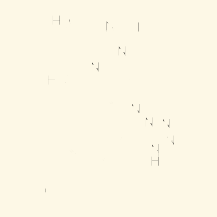 CCc1nc2c(C)cc(C)nc2n1Cc1ccc(-c2cc(-c3cccc(C)c3)ccc2-c2nnn[nH]2)nc1